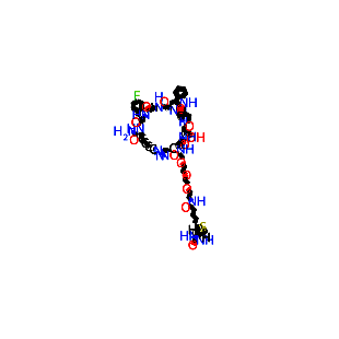 C[C@H]1NC(=O)[C@@H](Cc2c[nH]c3ccccc23)NC(=O)[C@H]2CCCN2C(=O)[C@@H](CO)NC(=O)[C@@H](NC(=O)COCCOCCOCCNC(=O)CCCC[C@@H]2SC[C@@H]3NC(=O)N[C@@H]32)Cc2cn(nn2)CCCC[C@@H](C(N)=O)NC(=O)[C@H](Cc2ccc(F)cc2)NC1=O